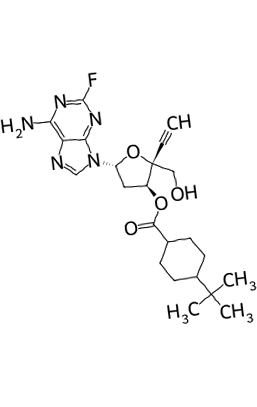 C#C[C@]1(CO)O[C@@H](n2cnc3c(N)nc(F)nc32)C[C@@H]1OC(=O)C1CCC(C(C)(C)C)CC1